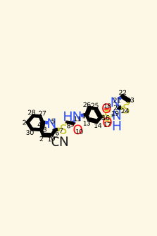 N#Cc1cc2c(nc1SCC(=O)Nc1ccc(S(=O)(=O)Nc3nccs3)cc1)CCCC2